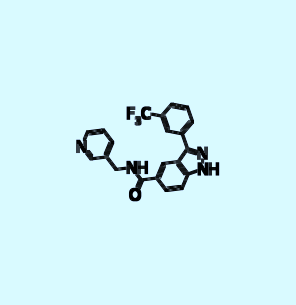 O=C(NCc1cccnc1)c1ccc2[nH]nc(-c3cccc(C(F)(F)F)c3)c2c1